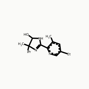 CCc1cnc(C2=NC(C)(C(C)C)C(O)N2)c(C)c1